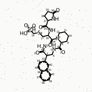 NC(=O)C(CNC(=O)C1CCCCN1C(=O)C(CSCP(=O)(O)O)NC(=O)C1CCC(=O)N1)c1ccc2ccccc2c1